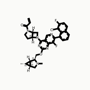 C=CC(=O)N1CC[C@@H]2[C@H]1CN2c1nc(OC[C@@H]2[C@H]3[C@@H](C)[C@H]3CN2C)nc2c(F)c(-c3cccc4ccc(F)c(Cl)c34)ncc12